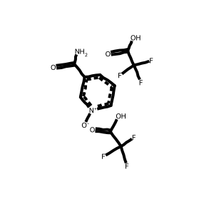 NC(=O)c1ccc[n+]([O-])c1.O=C(O)C(F)(F)F.O=C(O)C(F)(F)F